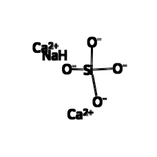 [Ca+2].[Ca+2].[NaH].[O-][Si]([O-])([O-])[O-]